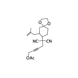 C=C(C)CC1CC2(CCC1C(C#N)(C#N)CC#CCOC(C)=O)OCCO2